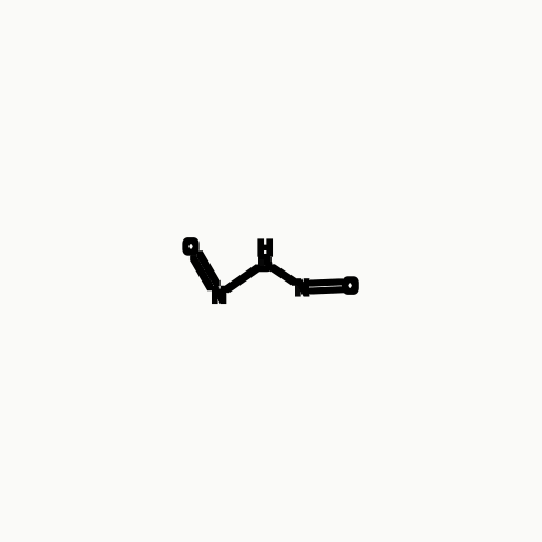 O=NBN=O